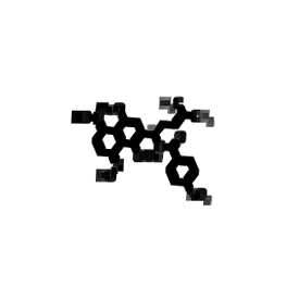 COc1cc([C@@H](CC=C(C)C)OC(=O)c2ccc([N+](=O)[O-])cc2)c(OC)c2c1C(=NO)C=CC2=NO